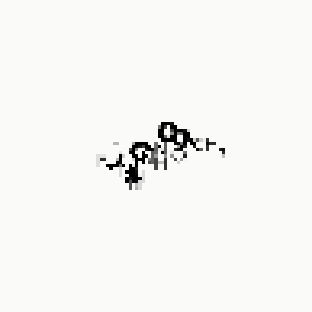 CN1Cc2cccc(Nc3cccc(-c4nncn4C(CF)CF)n3)c2C1=O